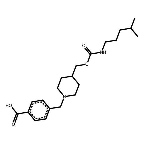 CC(C)CCCNC(=O)OCC1CCN(Cc2ccc(C(=O)O)cc2)CC1